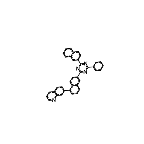 c1ccc(-c2nc(-c3ccc4ccccc4c3)nc(-c3ccc4c(-c5ccc6cccnc6c5)cccc4c3)n2)cc1